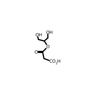 O=C(O)CC(=O)OC(CO)CO